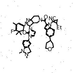 CCC1C[C@]1(C#N)n1c(C(=O)N2CCC3=NN(C4=CC(C)=C(F)C(C)(C)C4)C(n4ccn(-c5ccc6c(c5)CN(C)N6C)c4=O)C3C2)cc2cc(C3CCOCC3)ccc21